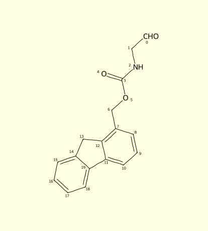 O=CCNC(=O)OCc1cccc2c1Cc1ccccc1-2